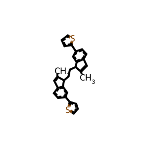 CC1=Cc2ccc(-c3cccs3)cc2C1CCC1C(C)=Cc2ccc(-c3cccs3)cc21